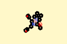 c1ccc(C2(c3ccccc3)c3ccccc3N3B4c5c(cc6c(oc7ccccc76)c5-c5cccc2c53)-n2c3ccc(C56CC7CC(CC(C7)C5)C6)cc3c3cc(C56CC7CC(CC(C7)C5)C6)cc4c32)cc1